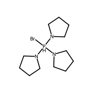 Br[PH](N1CCCC1)(N1CCCC1)N1CCCC1